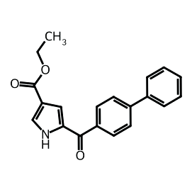 CCOC(=O)c1c[nH]c(C(=O)c2ccc(-c3ccccc3)cc2)c1